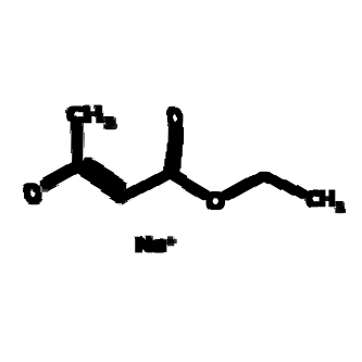 CCOC(=O)/C=C(\C)[O-].[Na+]